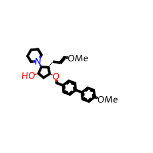 CO/C=C/C[C@H]1[C@H](N2CCCCC2)[C@@H](O)C[C@H]1OCc1ccc(-c2ccc(OC)cc2)cc1